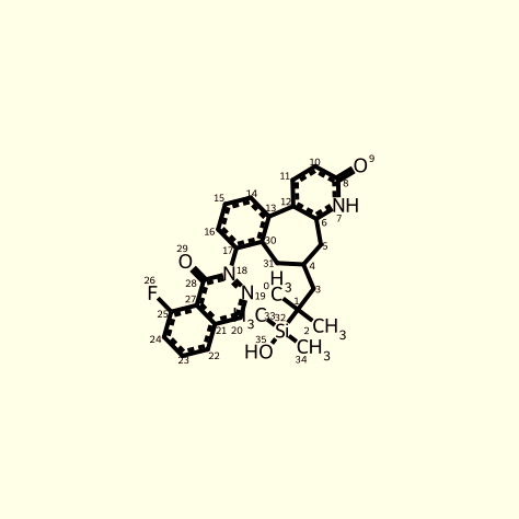 CC(C)(CC1Cc2[nH]c(=O)ccc2-c2cccc(-n3ncc4cccc(F)c4c3=O)c2C1)[Si](C)(C)O